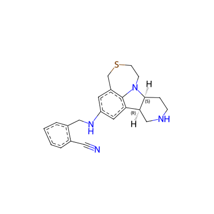 N#Cc1ccccc1CNc1cc2c3c(c1)[C@@H]1CNCC[C@@H]1N3CCSC2